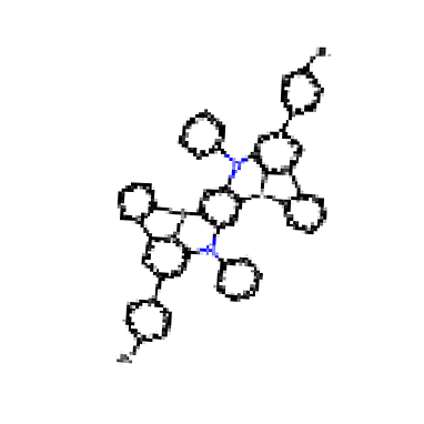 CC(C)(C)c1ccc(-c2cc3c4c(c2)N(c2ccccc2)c2cc5c(cc2B4c2ccccc2-3)N(c2ccccc2)c2cc(-c3ccc(C(C)(C)C)cc3)cc3c2B5c2ccccc2-3)cc1